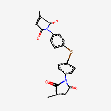 CC1=CC(=O)N(c2ccc(Sc3ccc(N4C(=O)C=C(C)C4=O)cc3)cc2)C1=O